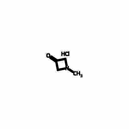 CN1CC(=O)C1.Cl